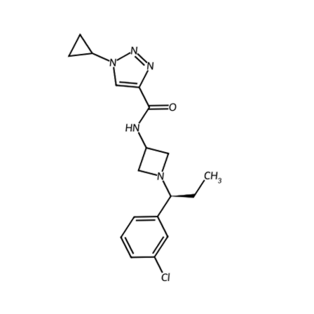 CC[C@@H](c1cccc(Cl)c1)N1CC(NC(=O)c2cn(C3CC3)nn2)C1